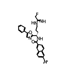 CN(C)c1ccc2cc(C(=O)N[C@@H](CCCNC(=N)CF)c3ncc(-c4ccccc4)o3)ccc2c1